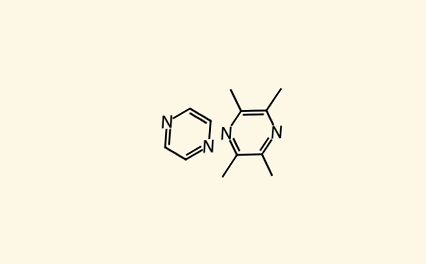 Cc1nc(C)c(C)nc1C.c1cnccn1